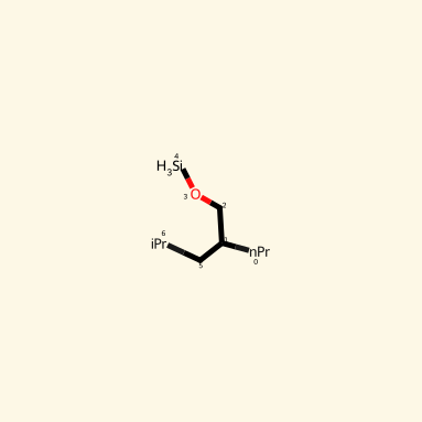 CCCC(CO[SiH3])CC(C)C